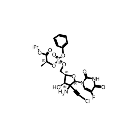 CC(C)OC(=O)[C@H](C)O[P@](=O)(OC[C@H]1O[C@@H](n2cc(F)c(=O)[nH]c2=O)C(N)(C#CCl)[C@H]1O)Oc1ccccc1